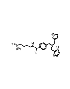 CCCN(CCC)CCCCNC(=O)c1ccc(CN(Cc2cc[nH]n2)Cc2ncc[nH]2)cc1